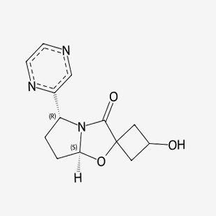 O=C1N2[C@H](CC[C@@H]2c2cnccn2)OC12CC(O)C2